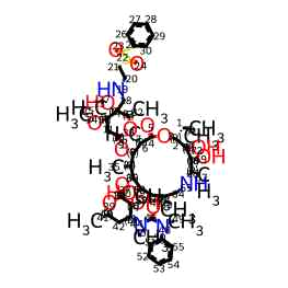 CC[C@H]1OC(=O)[C@H](C)[C@@H](O[C@H]2C[C@@](C)(OC)[C@](O)(CNCCS(=O)(=O)c3ccccc3)[C@H](C)O2)[C@H](C)[C@@H](O[C@@H]2O[C@H](C)C[C@H](N(C)C(=O)N(C)c3ccccc3)[C@H]2O)[C@](C)(O)C[C@@H](C)CN[C@H](C)[C@@H](O)[C@]1(C)O